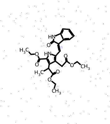 CCOC(=O)Cc1c(/C=C2\C(=O)Nc3ccccc32)[nH]c(C(=O)OCC)c1C(C)C(=O)OCC